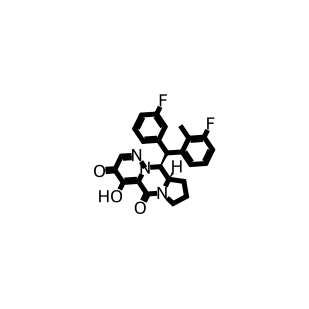 Cc1c(F)cccc1C(c1cccc(F)c1)[C@H]1[C@H]2CCCN2C(=O)c2c(O)c(=O)cnn21